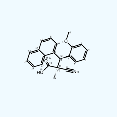 COc1ccccc1[C@H](c1cccc2ccccc12)[C@@](C)(C#N)C(=O)O